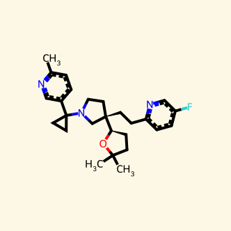 Cc1ccc(C2(N3CC[C@](CCc4ccc(F)cn4)([C@H]4CCC(C)(C)O4)C3)CC2)cn1